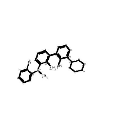 CCCc1c(-c2cccc(N(C)c3ccccc3CC)c2C)cccc1C1CCCCC1